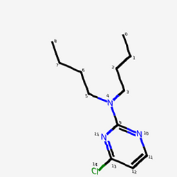 CCCCN(CCCC)c1nccc(Cl)n1